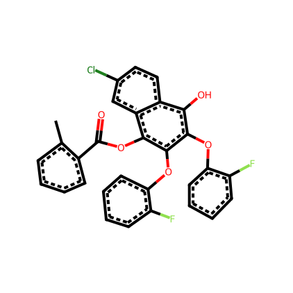 Cc1ccccc1C(=O)Oc1c(Oc2ccccc2F)c(Oc2ccccc2F)c(O)c2ccc(Cl)cc12